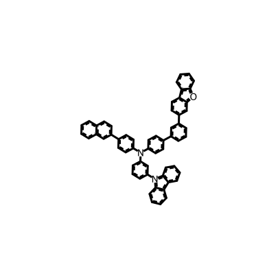 c1cc(-c2ccc(N(c3ccc(-c4ccc5ccccc5c4)cc3)c3cccc(-n4c5ccccc5c5ccccc54)c3)cc2)cc(-c2ccc3c(c2)oc2ccccc23)c1